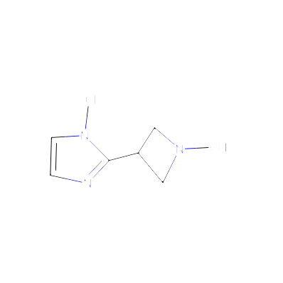 CN1CC(c2nccn2C)C1